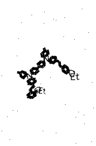 CCOc1ccc(/C=C/c2ccc(N(c3ccc(C)cc3)c3ccc(-c4ccc(N(c5ccc(C)cc5)c5ccc(/C=C/c6ccccc6OCC)cc5)cc4)cc3)cc2)cc1